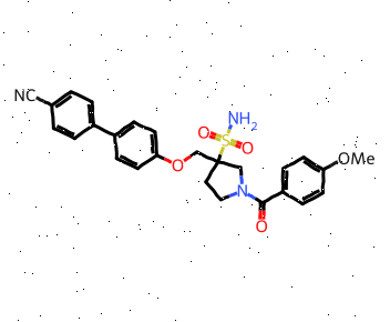 COc1ccc(C(=O)N2CCC(COc3ccc(-c4ccc(C#N)cc4)cc3)(S(N)(=O)=O)C2)cc1